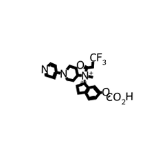 C[N+](C(=O)CC(F)(F)F)(C1CCN(c2ccncc2)CC1)[C@@H]1CCc2ccc(OC(=O)O)cc21